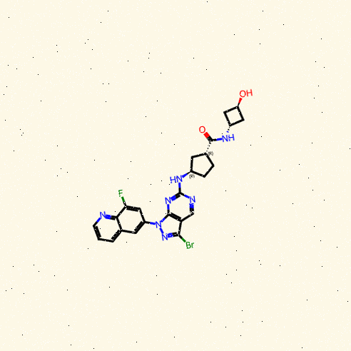 O=C(N[C@H]1C[C@H](O)C1)[C@@H]1CC[C@@H](Nc2ncc3c(Br)nn(-c4cc(F)c5ncccc5c4)c3n2)C1